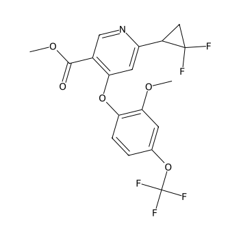 COC(=O)c1cnc(C2CC2(F)F)cc1Oc1ccc(OC(F)(F)F)cc1OC